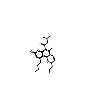 CCCCc1cc(=O)oc2c(C(=O)CC(C)C)c(C)c3c(c12)OC(CCC)C=C3